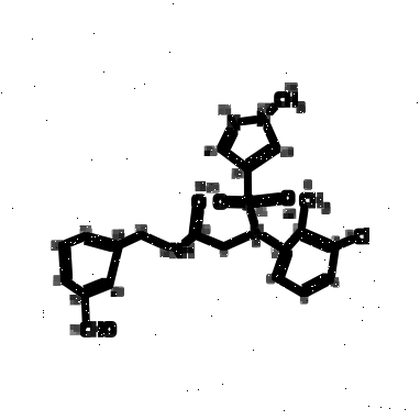 Cc1c(Cl)cccc1N(CC(=O)NCc1cccc(C=O)c1)S(=O)(=O)c1cnn(C)c1